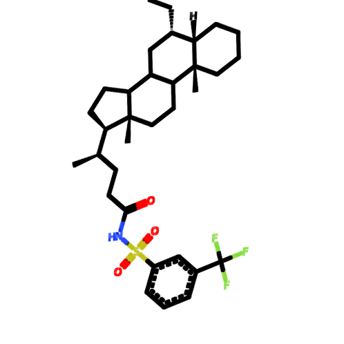 CC[C@H]1CC2C3CC[C@H]([C@H](C)CCC(=O)NS(=O)(=O)c4cccc(C(F)(F)F)c4)[C@@]3(C)CCC2[C@@]2(C)CCCC[C@@H]12